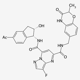 CC(=O)c1ccc2c(c1)C[C@H](O)[C@@H]2NC(=O)c1cc(C(=O)NCc2ccc3c(c2)NC(=O)C(C)O3)nc2c(F)cnn12